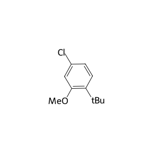 COc1cc(Cl)ccc1C(C)(C)C